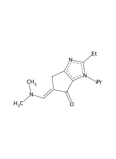 CCc1nc2c(n1C(C)C)C(=O)/C(=C/N(C)C)C2